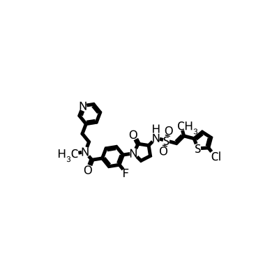 C/C(=C\S(=O)(=O)NC1CCN(c2ccc(C(=O)N(C)CCc3cccnc3)cc2F)C1=O)c1ccc(Cl)s1